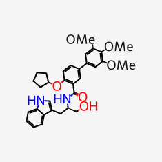 COc1cc(-c2ccc(OC3CCCC3)c(C(=O)N[C@@H](CO)Cc3c[nH]c4ccccc34)c2)cc(OC)c1OC